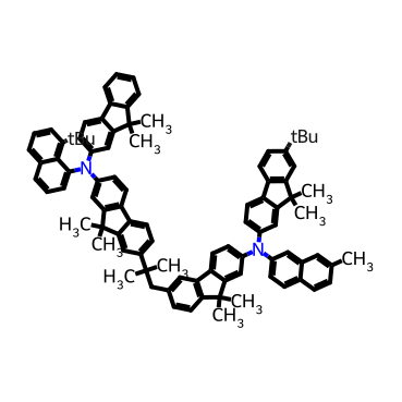 Cc1ccc2ccc(N(c3ccc4c(c3)C(C)(C)c3ccc(CC(C)(C)c5ccc6c(c5)C(C)(C)c5cc(N(c7ccc8c(c7)C(C)(C)c7ccccc7-8)c7cccc8cccc(C(C)(C)C)c78)ccc5-6)cc3-4)c3ccc4c(c3)C(C)(C)c3cc(C(C)(C)C)ccc3-4)cc2c1